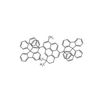 Cc1cc(N(c2ccccc2)c2cccc3c2C(c2ccccc2)(c2ccccc2)c2ccccc2-3)c2cc3c4c(cc(N(c5ccccc5)c5cccc6c5C(c5ccccc5)(c5ccccc5)c5ccccc5-6)c5ccc1c2c54)CCC3(C)C